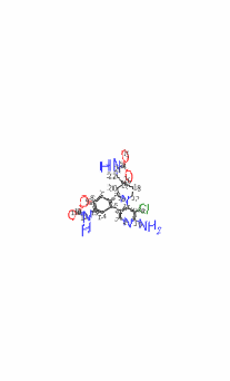 Nc1ncc(-c2ccc3oc(=O)[nH]c3c2)c(N2CCC3(CC2)CNC(=O)O3)c1Cl